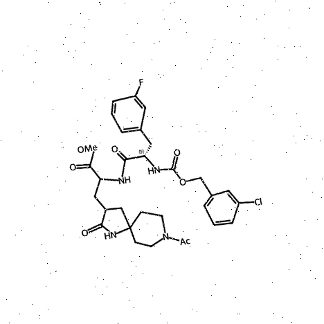 COC(=O)C(CC1CC2(CCN(C(C)=O)CC2)NC1=O)NC(=O)[C@H](Cc1cccc(F)c1)NC(=O)OCc1cccc(Cl)c1